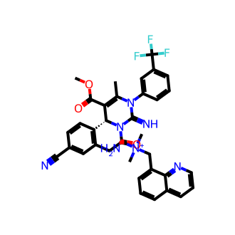 COC(=O)C1=C(C)N(c2cccc(C(F)(F)F)c2)C(=N)N(C(N)=O)[C@@H]1c1ccc(C#N)cc1CC[N+](C)(C)Cc1cccc2cccnc12